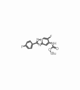 CC(C)(C)OC(=O)Nc1cc2nc(-c3ccc(F)cc3)nn2cc1F